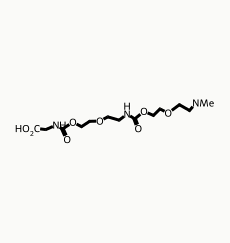 CNCCOCCOC(=O)NCCOCCOC(=O)NCC(=O)O